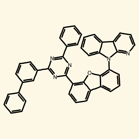 c1ccc(-c2cccc(-c3nc(-c4ccccc4)nc(-c4cccc5c4oc4c(-n6c7ccccc7c7cccnc76)cccc45)n3)c2)cc1